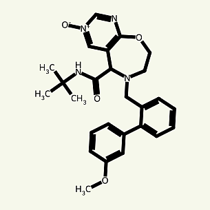 COc1cccc(-c2ccccc2CN2CCOc3nc[n+]([O-])cc3C2C(=O)NC(C)(C)C)c1